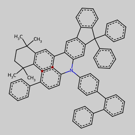 CC1(C)CCC(C)(C)c2cc(-c3cc4c(cc3N(c3ccc(-c5ccccc5)cc3)c3ccc(-c5ccccc5-c5ccccc5)cc3)C(c3ccccc3)(c3ccccc3)c3ccccc3-4)ccc21